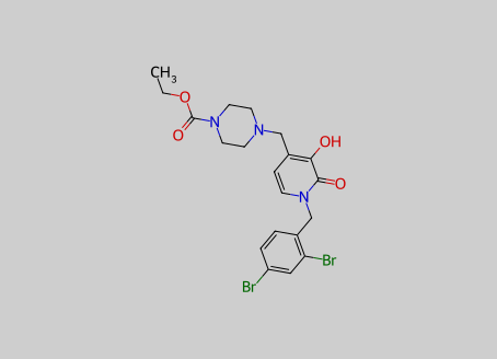 CCOC(=O)N1CCN(Cc2ccn(Cc3ccc(Br)cc3Br)c(=O)c2O)CC1